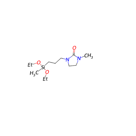 CCO[Si](C)(CCCN1CCN(C)C1=O)OCC